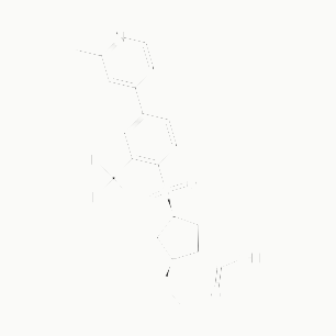 CO[C@H]1C[C@@H](S(=O)(=O)c2ccc(-c3ccnc(C)c3)cc2C(F)(F)F)C[C@@H]1C(=O)O